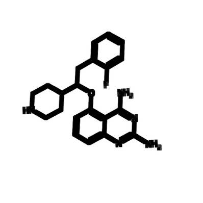 Nc1nc(N)c2c(OC(Cc3ccccc3F)C3CCNCC3)cccc2n1